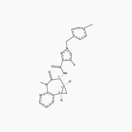 Cc1ccc(Cn2cc(F)c(C(=O)N[C@H]3C(=O)N(C)c4ncccc4[C@@H]4C[C@H]34)n2)cc1